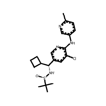 Cc1ccc(Nc2ncc([C@H](N[S@+]([O-])C(C)(C)C)C3CCC3)cc2Cl)cn1